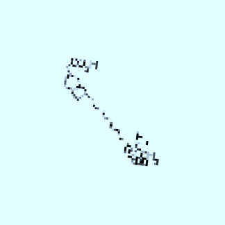 CC(C)(C)[Si](C)(C)OCCCCCCCCCc1ccc2ccc(CC(=O)O)cc2c1